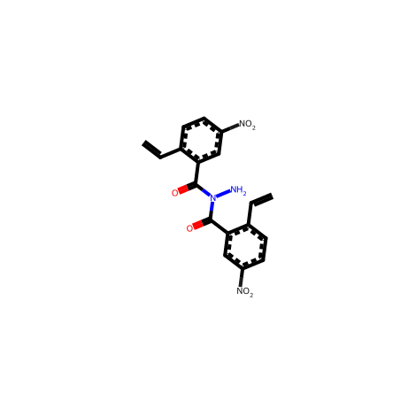 C=Cc1ccc([N+](=O)[O-])cc1C(=O)N(N)C(=O)c1cc([N+](=O)[O-])ccc1C=C